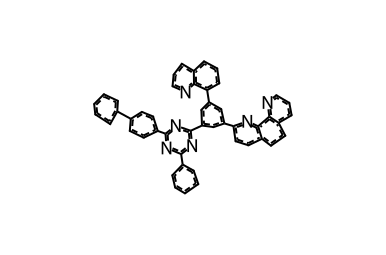 c1ccc(-c2ccc(-c3nc(-c4ccccc4)nc(-c4cc(-c5ccc6ccc7cccnc7c6n5)cc(-c5cccc6cccnc56)c4)n3)cc2)cc1